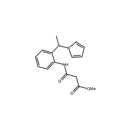 COC(=O)CC(=O)Nc1ccccc1N(C)n1cccc1